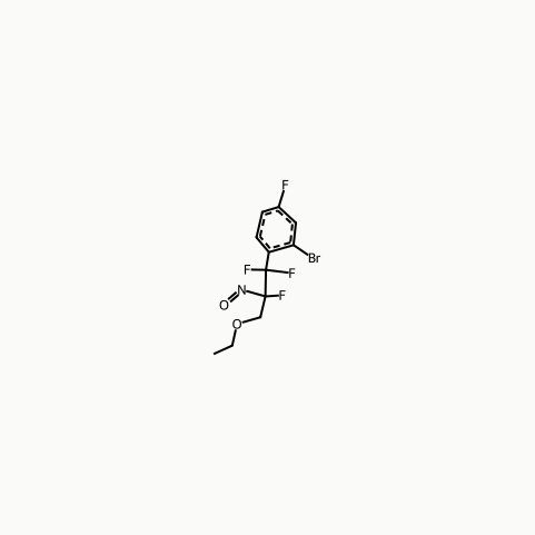 CCOCC(F)(N=O)C(F)(F)c1ccc(F)cc1Br